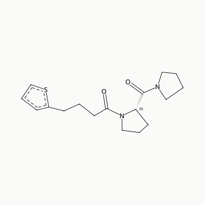 O=C([C@@H]1CCCN1C(=O)CCCc1cccs1)N1CCCC1